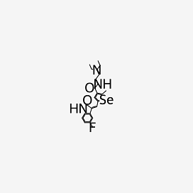 CCN(CC)CCNC(=O)c1cc(/C=C2\C(=O)Nc3ccc(F)cc32)[se]c1C